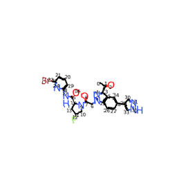 CC(=O)c1nn(CC(=O)N2C[C@H](F)C[C@H]2C(=O)Nc2cccc(Br)n2)c2ccc(-c3cn[nH]c3)cc12